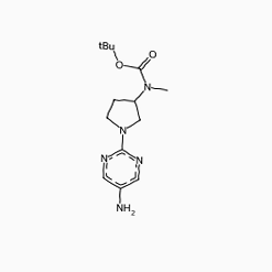 CN(C(=O)OC(C)(C)C)C1CCN(c2ncc(N)cn2)C1